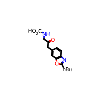 CCCCc1nc2ccc(CC(=O)CNC(=O)O)cc2o1